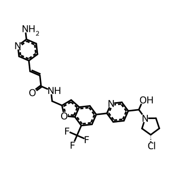 Nc1ccc(/C=C/C(=O)NCc2cc3cc(-c4ccc(C(O)N5CC[C@H](Cl)C5)cn4)cc(C(F)(F)F)c3o2)cn1